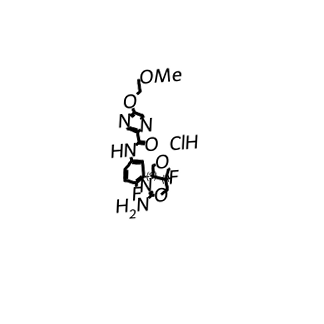 COCCOc1cnc(C(=O)Nc2ccc(F)c([C@]34COC[C@@]3(F)COC(N)=N4)c2)cn1.Cl